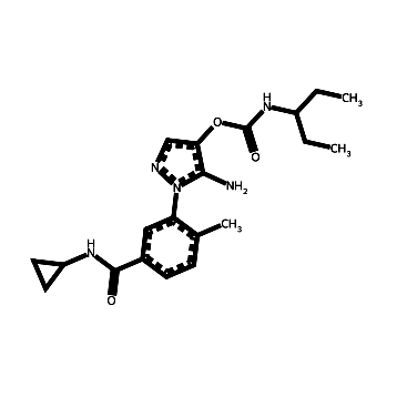 CCC(CC)NC(=O)Oc1cnn(-c2cc(C(=O)NC3CC3)ccc2C)c1N